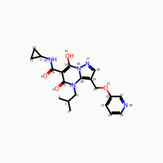 CC(C)Cn1c(=O)c(C(=O)NC2CC2)c(O)n2ncc(COc3cccnc3)c12